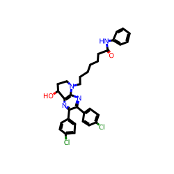 O=C(CCCCCCN1CCC(O)c2nc(-c3ccc(Cl)cc3)c(-c3ccc(Cl)cc3)nc21)Nc1ccccc1